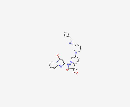 O=C(Nc1cc(=O)n2ccccc2n1)C1(c2ccc(N3CCC[C@@H](NCC4CCC4)C3)cn2)COC1